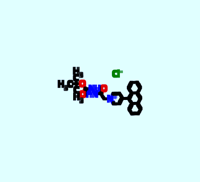 CC(C)(C)OC(=O)NNC(=O)C[n+]1ccc(-c2c3ccccc3cc3ccccc23)cc1.[Cl-]